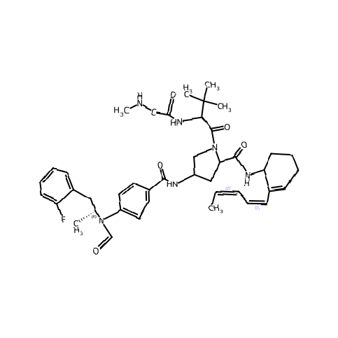 C/C=C\C=C/C1=CCCCC1NC(=O)C1CC(NC(=O)c2ccc(N(C=O)[C@H](C)Cc3ccccc3F)cc2)CN1C(=O)C(NC(=O)CNC)C(C)(C)C